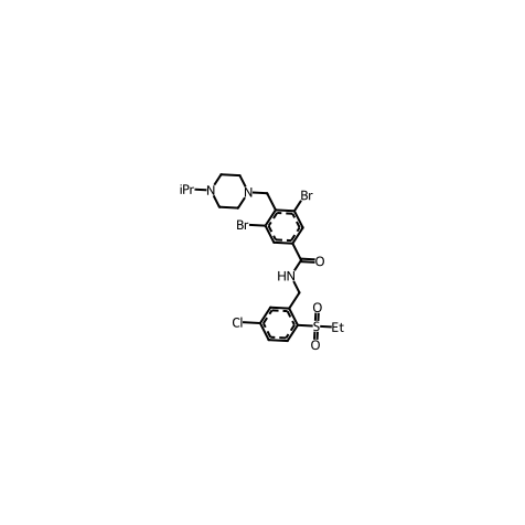 CCS(=O)(=O)c1ccc(Cl)cc1CNC(=O)c1cc(Br)c(CN2CCN(C(C)C)CC2)c(Br)c1